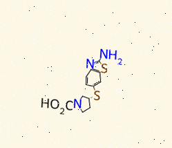 Nc1nc2ccc(S[C@@H]3CCN(C(=O)O)C3)cc2s1